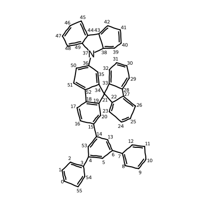 c1ccc(-c2cc(-c3ccccc3)cc(-c3ccc4c(c3)C3(c5ccccc5-c5ccccc53)c3cc(-n5c6ccccc6c6ccccc65)ccc3-4)c2)cc1